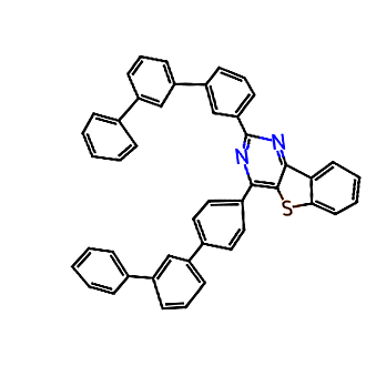 c1ccc(-c2cccc(-c3ccc(-c4nc(-c5cccc(-c6cccc(-c7ccccc7)c6)c5)nc5c4sc4ccccc45)cc3)c2)cc1